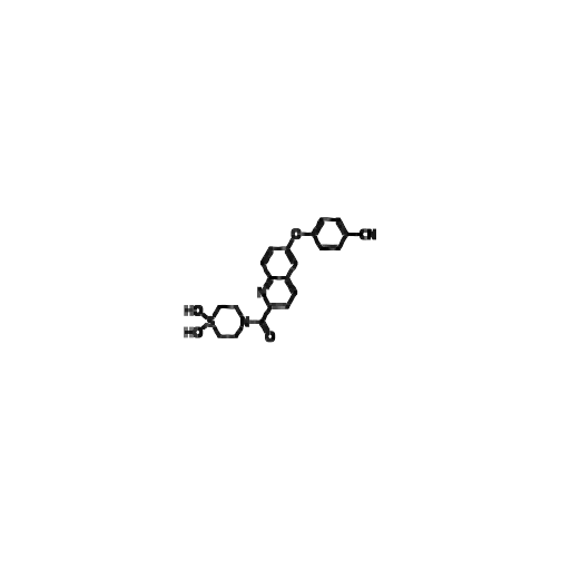 N#Cc1ccc(Oc2ccc3nc(C(=O)N4CCS(O)(O)CC4)ccc3c2)cc1